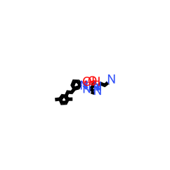 CC1=NN(CCC#N)C(=O)C1=NN(O)c1cccc(CCc2cc(C)ccc2C)c1